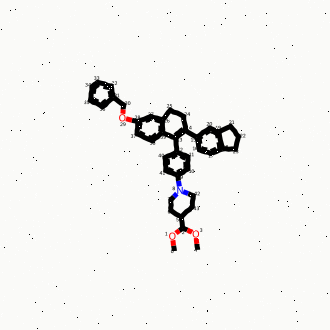 COC(OC)C1CCN(c2ccc(C3=C(c4ccc5c(c4)CCC5)CCc4cc(OCc5ccccc5)ccc43)cc2)CC1